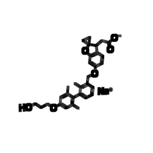 Cc1cc(OCCCO)cc(C)c1-c1cccc(COc2ccc3c(c2)OC2(CC2)C3CC(=O)[O-])c1C.[Na+]